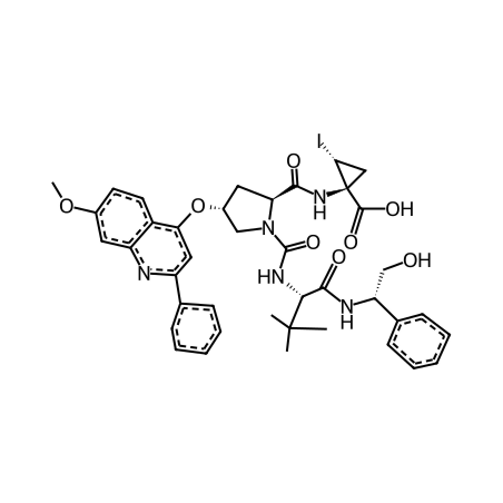 COc1ccc2c(O[C@@H]3C[C@@H](C(=O)N[C@]4(C(=O)O)C[C@H]4I)N(C(=O)N[C@H](C(=O)N[C@H](CO)c4ccccc4)C(C)(C)C)C3)cc(-c3ccccc3)nc2c1